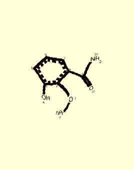 CCCOc1c(O)cccc1C(N)=O